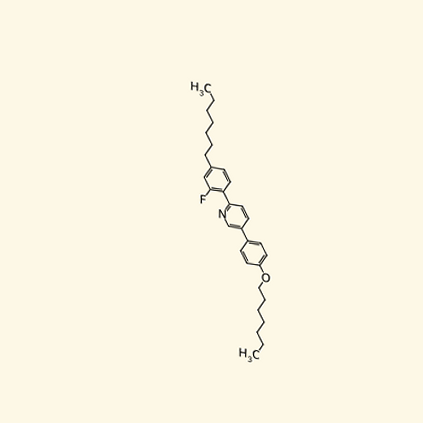 CCCCCCCOc1ccc(-c2ccc(-c3ccc(CCCCCCC)cc3F)nc2)cc1